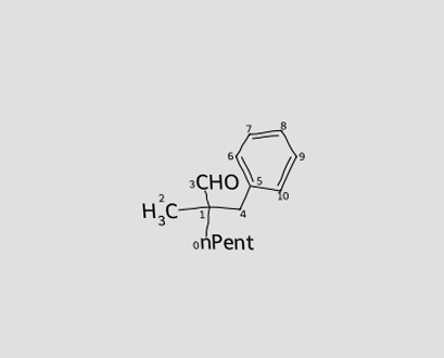 CCCCCC(C)(C=O)Cc1ccccc1